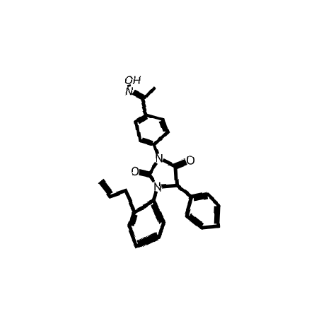 C=CCc1ccccc1N1C(=O)N(c2ccc(C(C)=NO)cc2)C(=O)C1c1ccccc1